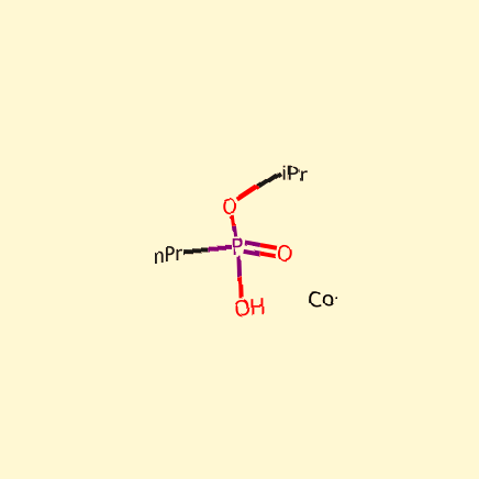 CCCP(=O)(O)OC(C)C.[Co]